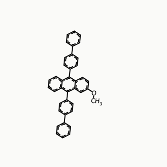 COc1ccc2c(-c3ccc(-c4ccccc4)cc3)c3ccccc3c(-c3ccc(-c4ccccc4)cc3)c2c1